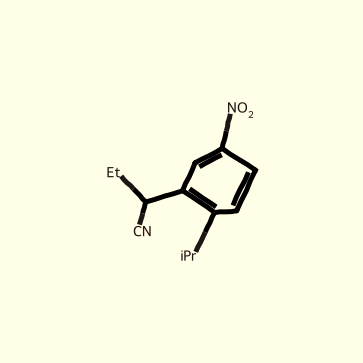 CCC(C#N)c1cc([N+](=O)[O-])ccc1C(C)C